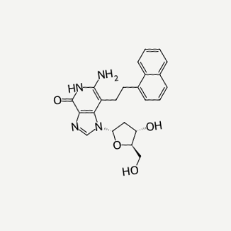 Nc1[nH]c(=O)c2ncn([C@@H]3C[C@H](O)[C@@H](CO)O3)c2c1CCc1cccc2ccccc12